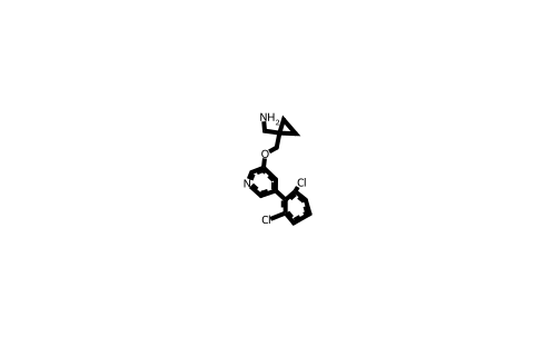 NCC1(COc2cncc(-c3c(Cl)cccc3Cl)c2)CC1